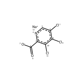 O=C([O-])c1ncc(Cl)c(Cl)c1Cl.[Na+]